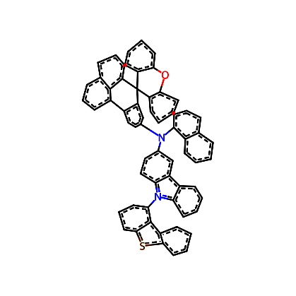 c1ccc2c(c1)Oc1ccccc1C21c2cc(N(c3ccc4c(c3)c3ccccc3n4-c3cccc4sc5ccccc5c34)c3cccc4ccccc34)ccc2-c2cccc3cccc1c23